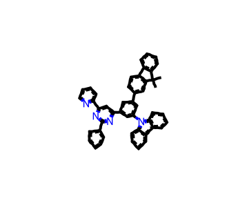 CC1(C)c2ccccc2-c2ccc(-c3cc(-c4cc(-c5ccccn5)nc(-c5ccccc5)n4)cc(-n4c5ccccc5c5ccccc54)c3)cc21